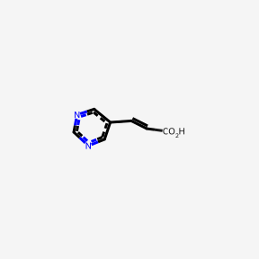 O=C(O)C=Cc1cncnc1